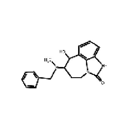 CN(Cc1ccccc1)C1CCn2c(=O)[nH]c3cccc(c32)C1O